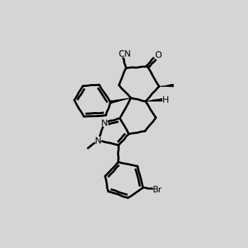 C[C@@H]1C(=O)C(C#N)C[C@@]2(c3ccccc3)c3nn(C)c(-c4cccc(Br)c4)c3CC[C@@H]12